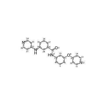 O=C(Nc1cccc(Oc2ccncc2)c1)c1cccc(Nc2ccncc2)c1